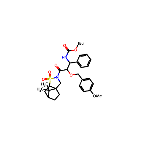 COc1ccc(COC(C(=O)N2CC34CCC(CC3S2(=O)=O)C4(C)C)C(NC(=O)OC(C)(C)C)c2ccccc2)cc1